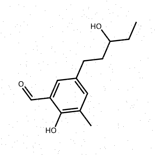 CCC(O)CCc1cc(C)c(O)c(C=O)c1